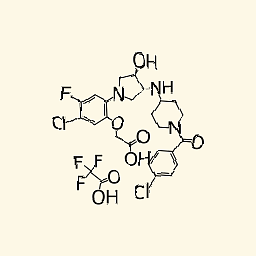 O=C(O)C(F)(F)F.O=C(O)COc1cc(Cl)c(F)cc1N1C[C@@H](O)[C@H](NC2CCN(C(=O)c3ccc(Cl)cc3)CC2)C1